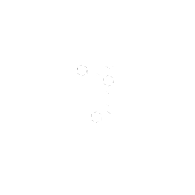 CC(Nc1cc(N2CCN(C(=O)c3cccc(Cl)c3)CC2)ccc1[N+](=O)[O-])c1ccccc1